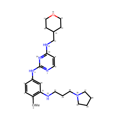 COc1ccc(Nc2nccc(NCC3CCOCC3)n2)cc1NCCCN1CCCC1